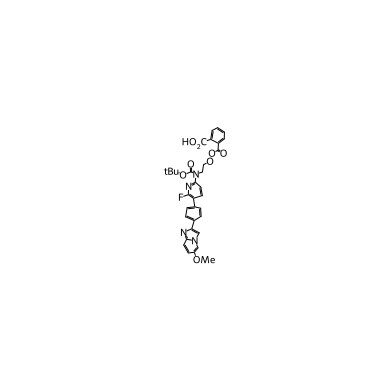 COc1ccc2nc(-c3ccc(-c4ccc(N(CCOOC(=O)c5ccccc5C(=O)O)C(=O)OC(C)(C)C)nc4F)cc3)cn2c1